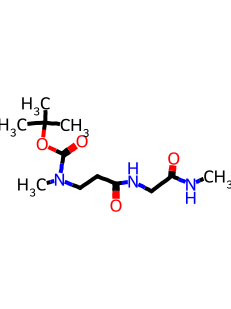 CNC(=O)CNC(=O)CCN(C)C(=O)OC(C)(C)C